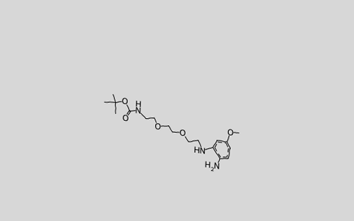 COc1ccc(N)c(NCCOCCOCCNC(=O)OC(C)(C)C)c1